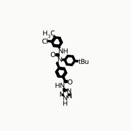 Cc1ccc(NC(=O)N(Cc2ccc(C(=O)Nc3nn[nH]n3)cc2)C2CCC(C(C)(C)C)CC2)cc1Cl